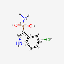 CN(C)S(=O)(=O)c1c[nH]c2ccc(Cl)cc12